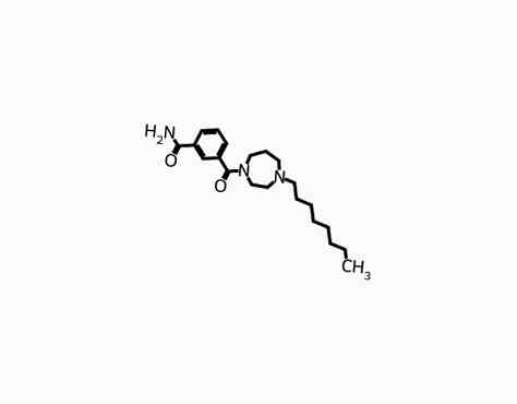 CCCCCCCCN1CCCN(C(=O)c2cccc(C(N)=O)c2)CC1